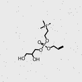 C=CCOP(=O)(OCC[N+](C)(C)C)OCC(O)CO